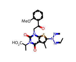 C=NN(/N=C\C)c1sc2c(c1C)c(=O)n(C(C)C(=O)O)c(=O)n2CC(=O)c1ccccc1OC